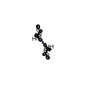 O=C(Nc1ccc(/C=C/c2ccc(NC(=O)[C@@H]3CCCN3C(=O)Cc3ccccc3OC3C=CC=CC3)cc2)cc1)[C@@H]1CCCN1C(=O)Cc1ccccc1Oc1ccccc1